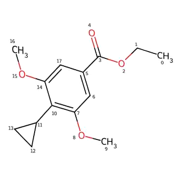 CCOC(=O)c1cc(OC)c(C2CC2)c(OC)c1